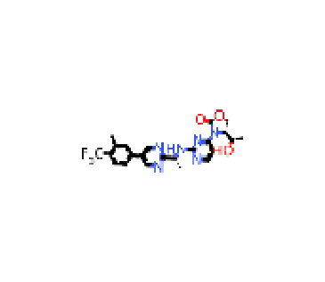 Cc1cc(-c2cnc([C@@H](C)Nc3nccc(N4C(=O)OC[C@@H]4[C@@H](C)O)n3)nc2)ccc1C(F)(F)F